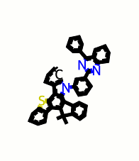 CC1(C)c2ccccc2-c2c1c1c3ccccc3sc1c1c3ccccc3n(-c3cccc(-c4nc(-c5ccccc5)c5ccccc5n4)c3)c21